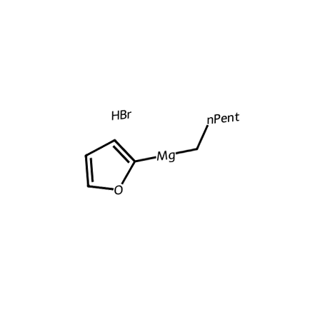 Br.CCCCC[CH2][Mg][c]1ccco1